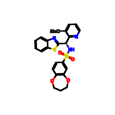 COc1cccnc1[C@H](NS(=O)(=O)c1ccc2c(c1)OCCCO2)c1nc2ccccc2s1